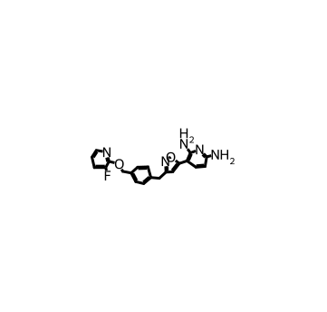 Nc1ccc(-c2cc(Cc3ccc(COc4ncccc4F)cc3)no2)c(N)n1